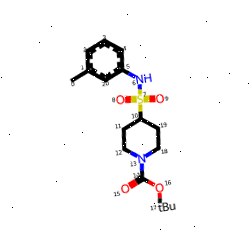 Cc1cccc(NS(=O)(=O)C2CCN(C(=O)OC(C)(C)C)CC2)c1